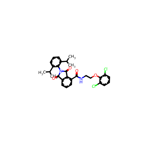 CC(C)c1cccc(C(C)C)c1N1C(=O)c2cccc(C(=O)NCCOc3c(Cl)cccc3Cl)c2C1=O